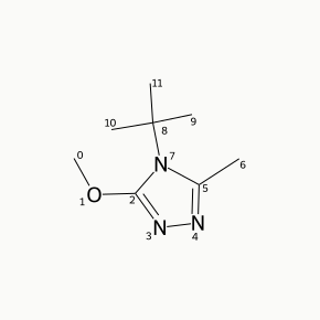 COc1nnc(C)n1C(C)(C)C